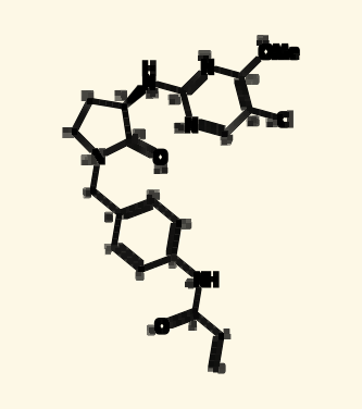 C=CC(=O)Nc1ccc(CN2CC[C@@H](Nc3ncc(Cl)c(OC)n3)C2=O)cc1